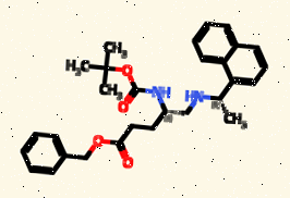 C[C@H](NC[C@H](CCC(=O)OCc1ccccc1)NC(=O)OC(C)(C)C)c1cccc2ccccc12